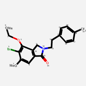 COCOc1c(Br)c(OC)cc2c1CN(CCc1ccc(C(F)(F)F)cc1)C2=O